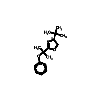 CC(C)(Oc1ccccc1)C1=N[C@@H](C(C)(C)C)CO1